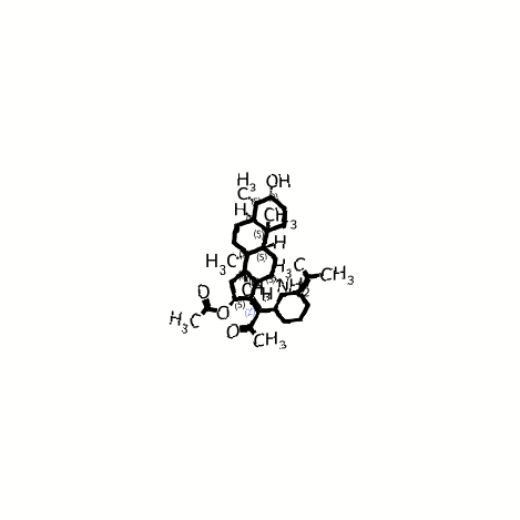 CC(=O)O[C@H]1C[C@@]2(C)[C@H](/C1=C(/C(C)=O)C1CCCC(=C(C)C)C1)[C@@H](N)C[C@H]1[C@@]3(C)CC[C@@H](O)[C@@H](C)[C@@H]3CC[C@@]12C